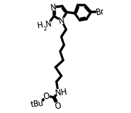 CC(C)(C)OC(=O)NCCCCCCCCn1c(-c2ccc(Br)cc2)cnc1N